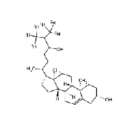 [2H]C([2H])([2H])C(C(O)CC[C@@H](C)[C@H]1CC[C@H]2[C@@H]3CC=C4C[C@@H](O)CC[C@]4(C)[C@H]3CC[C@]12C)C([2H])([2H])[2H]